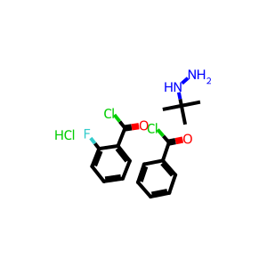 CC(C)(C)NN.Cl.O=C(Cl)c1ccccc1.O=C(Cl)c1ccccc1F